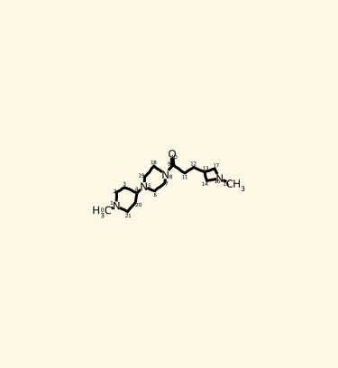 CN1CCC(N2CCN(C(=O)CCC3CN(C)C3)CC2)CC1